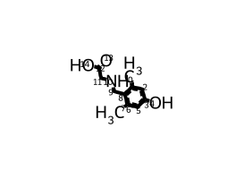 Cc1cc(O)cc(C)c1CNCC(=O)O